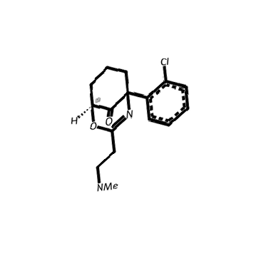 CNCCC1=NC2(c3ccccc3Cl)CCC[C@H](O1)C2=O